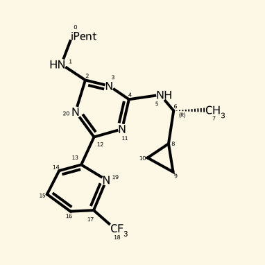 CCCC(C)Nc1nc(N[C@H](C)C2CC2)nc(-c2cccc(C(F)(F)F)n2)n1